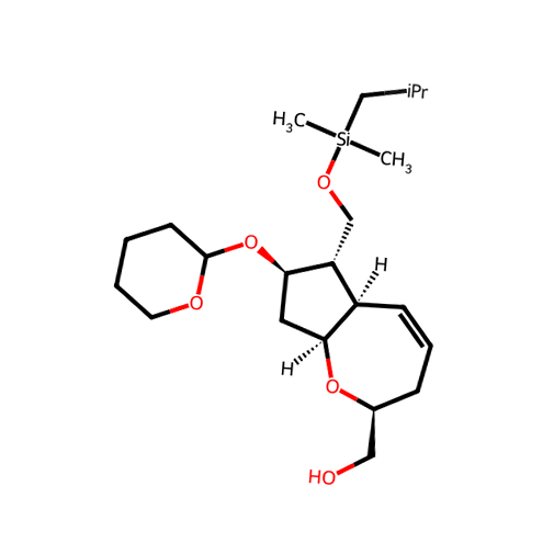 CC(C)C[Si](C)(C)OC[C@@H]1[C@H]2C=CC[C@@H](CO)O[C@H]2C[C@H]1OC1CCCCO1